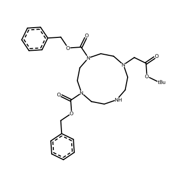 CC(C)(C)OC(=O)CN1CCNCCN(C(=O)OCc2ccccc2)CCN(C(=O)OCc2ccccc2)CC1